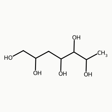 CC(O)C(O)C(O)CC(O)CO